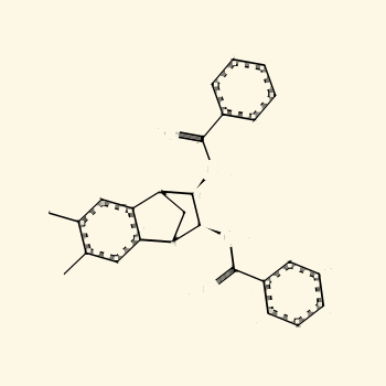 Cc1cc2c(cc1C)C1CC2[C@@H](OC(=O)c2ccccc2)[C@H]1OC(=O)c1ccccc1